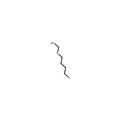 CCCCOCCCC[S]